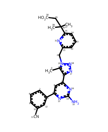 Cc1c(-c2cc(-c3cccc(C#N)c3)nc(N)n2)nnn1Cc1cccc(C(C)(C)CC(=O)O)n1